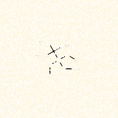 CCCO[Si](OCCC)(OCCC)C(OC)(OC)OC